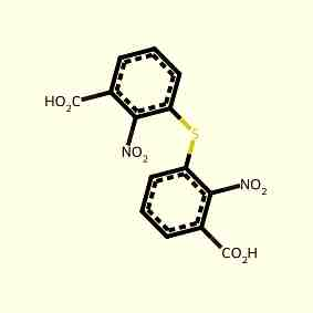 O=C(O)c1cccc(Sc2cccc(C(=O)O)c2[N+](=O)[O-])c1[N+](=O)[O-]